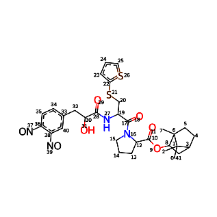 CC1(C)C2CCC1(C)C(OC(=O)C1CCCN1C(=O)C(CSc1cccs1)NC(=O)C(O)Cc1ccc(N=O)c(N=O)c1)C2